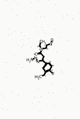 CCc1cc(C(CC(=O)N(CC)CCN=O)N=NN)ccc1F